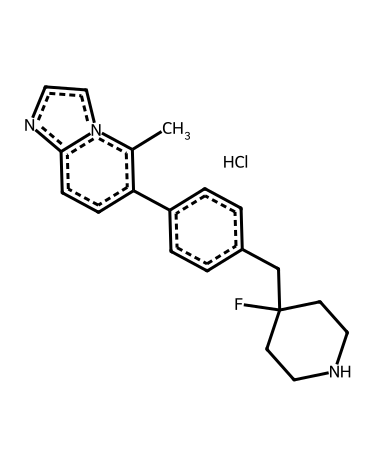 Cc1c(-c2ccc(CC3(F)CCNCC3)cc2)ccc2nccn12.Cl